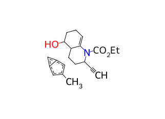 C#CC1CCC2C(=CCCC2O)N1C(=O)OCC.Cc1cc2cc-2c1